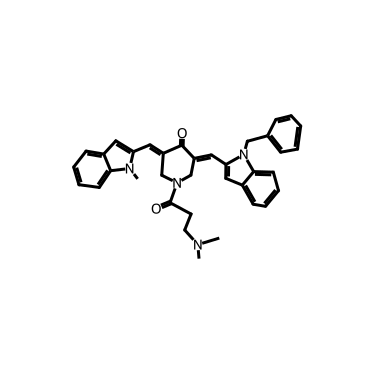 CN(C)CCC(=O)N1C/C(=C\c2cc3ccccc3n2C)C(=O)/C(=C/c2cc3ccccc3n2Cc2ccccc2)C1